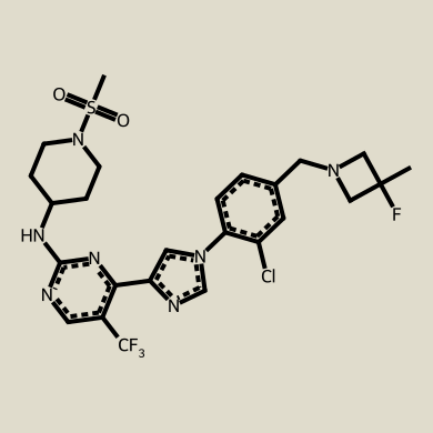 CC1(F)CN(Cc2ccc(-n3cnc(-c4nc(NC5CCN(S(C)(=O)=O)CC5)ncc4C(F)(F)F)c3)c(Cl)c2)C1